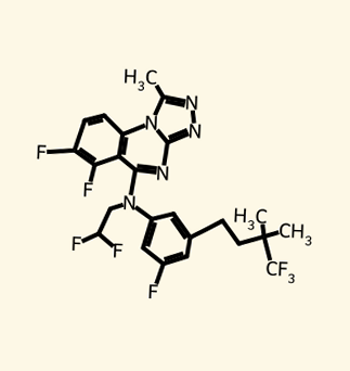 Cc1nnc2nc(N(CC(F)F)c3cc(F)cc(CCC(C)(C)C(F)(F)F)c3)c3c(F)c(F)ccc3n12